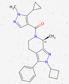 C[C@H]1c2nn(C3CCC3)c(-c3ccccc3)c2CCN1C(=O)c1cnn(C)c1C1CC1